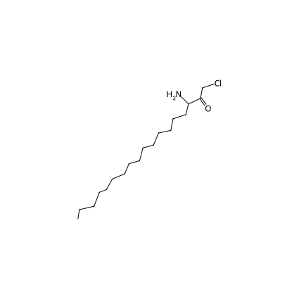 CCCCCCCCCCCCCCCC(N)C(=O)CCl